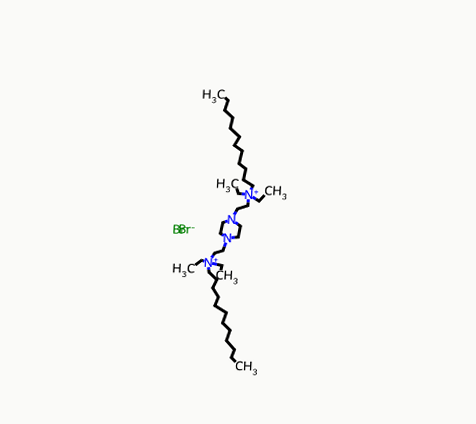 CCCCCCCCCCCC[N+](CC)(CC)CCN1CCN(CC[N+](CC)(CC)CCCCCCCCCCCC)CC1.[Br-].[Br-]